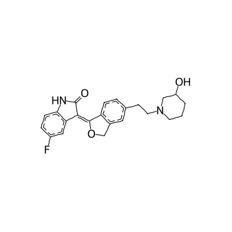 O=C1Nc2ccc(F)cc2C1=C1OCc2cc(CCN3CCCC(O)C3)ccc21